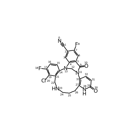 N#Cc1cc2c(cc1F)C(=O)N1CN2c2ccc(F)c(Cl)c2CNCCCc2[nH]c(=O)ccc21